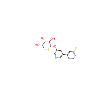 O[C@@H]1[C@@H](O)[C@@H](Oc2cncc(-c3ccnc(F)c3)c2)SC[C@H]1O